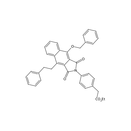 CCOC(=O)Cc1ccc(N2C(=O)c3c(c(OCc4ccccc4)c4ccccc4c3CCc3ccccc3)C2=O)cc1